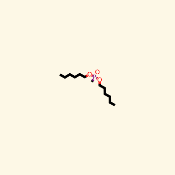 CCCCCCOP(C)(=O)OCCCCCC